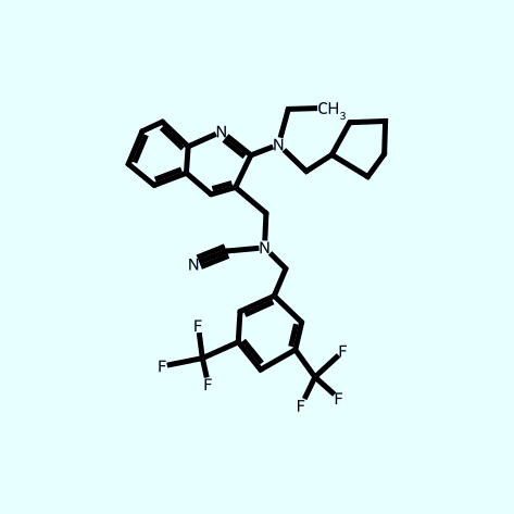 CCN(CC1CCCC1)c1nc2ccccc2cc1CN(C#N)Cc1cc(C(F)(F)F)cc(C(F)(F)F)c1